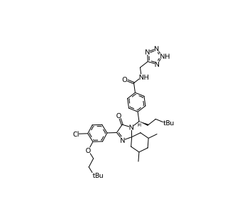 CC1CC(C)CC2(C1)N=C(c1ccc(Cl)c(OCCC(C)(C)C)c1)C(=O)N2[C@H](CCC(C)(C)C)c1ccc(C(=O)NCc2nn[nH]n2)cc1